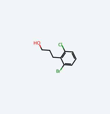 OCCCc1c(Cl)cccc1Br